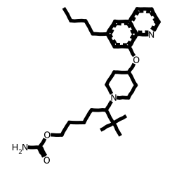 CCCCc1cc(OC2CCN(C(CCCCOC(N)=O)C(C)(C)C)CC2)c2ncccc2c1